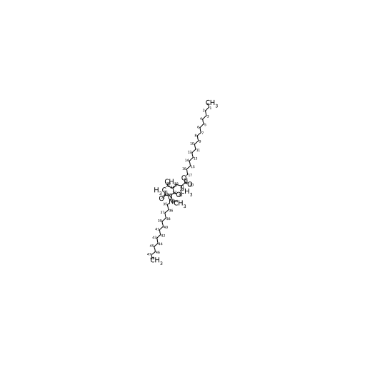 CCCCCCCCCCCCCCCCCCOC(=O)C(C)CC(CC)C(=O)N(C(C)=O)N(C)CCCCCCCCCCCCCC